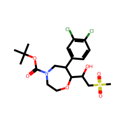 CC(C)(C)OC(=O)N1CCOC(C(O)CS(C)(=O)=O)C(c2ccc(Cl)c(Cl)c2)C1